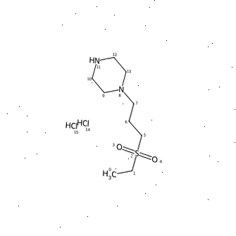 CCS(=O)(=O)CCCN1CCNCC1.Cl.Cl